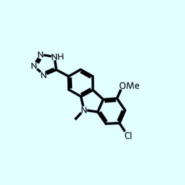 COc1cc(Cl)cc2c1c1ccc(-c3nnn[nH]3)cc1n2C